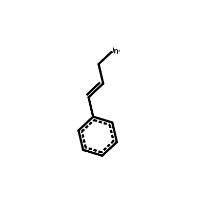 [In][CH2]C=Cc1ccccc1